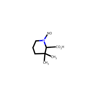 CC1(C)CCCN(N=O)C1C(=O)O